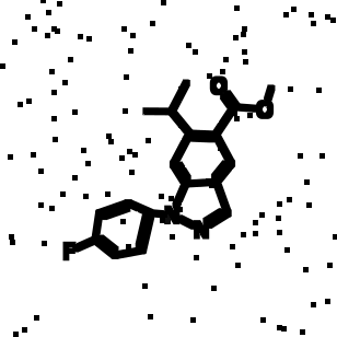 COC(=O)c1cc2cnn(-c3ccc(F)cc3)c2cc1C(C)C